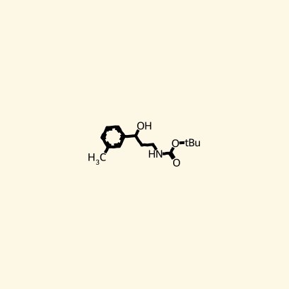 Cc1cccc(C(O)CCNC(=O)OC(C)(C)C)c1